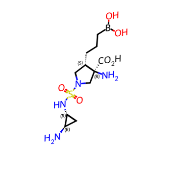 N[C@@H]1C[C@H]1NS(=O)(=O)N1C[C@H](CCCB(O)O)[C@](N)(C(=O)O)C1